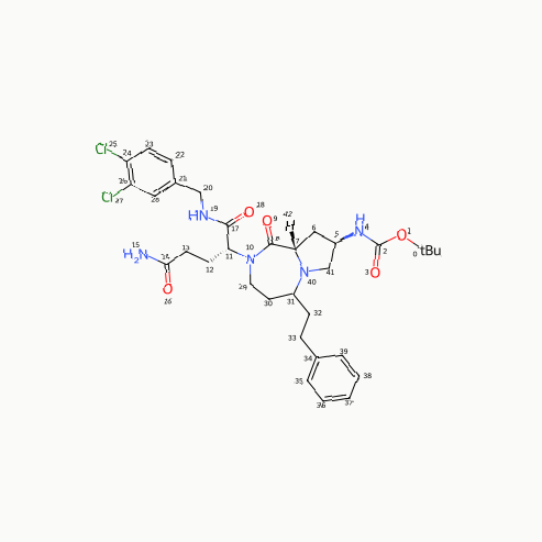 CC(C)(C)OC(=O)N[C@@H]1C[C@H]2C(=O)N([C@H](CCC(N)=O)C(=O)NCc3ccc(Cl)c(Cl)c3)CCC(CCc3ccccc3)N2C1